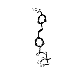 CCOC(C)(OCC)OC(=O)c1ccc(C=Cc2ccc(C(=O)O)cc2)cc1